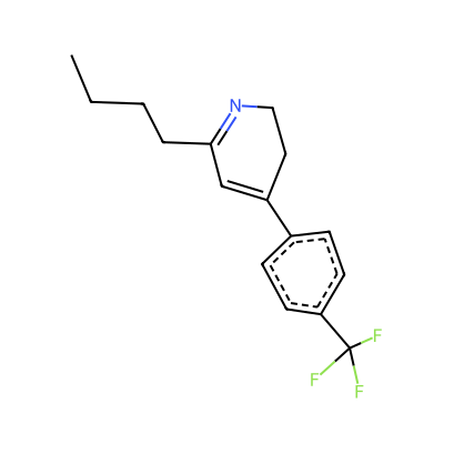 CCCCC1=NCCC(c2ccc(C(F)(F)F)cc2)=C1